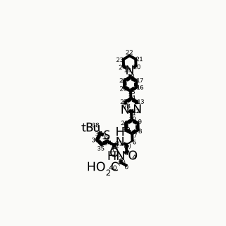 C[C@@H](NC(=O)[C@H](Cc1ccc(-c2ncc(-c3ccc(N4CCCCC4)cc3)cn2)cc1)NC(=O)c1ccc(C(C)(C)C)s1)C(=O)O